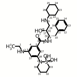 CCNc1cc(C(=O)N[C@@H](Cc2ccccc2)[C@@H](O)CNC2CCCCC2)cc(N2CCCCS2(O)O)c1